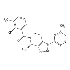 Cc1ccnc(N2NNC3=C2CCN(C(=O)c2cccc(C(F)(F)F)c2Cl)[C@@H]3C)n1